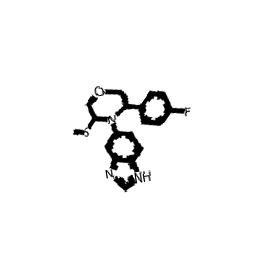 CSC1[CH]OCC(c2ccc(F)cc2)N1c1ccc2[nH]cnc2c1